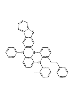 Cc1ccccc1N1c2cccc3c2B(c2cc4sc5ccccc5c4cc2N3c2ccccc2)c2cccc(CCc3ccccc3)c21